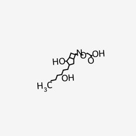 CCCCC(O)CCC1CC2C(=NOCC(=O)O)CC2C1O